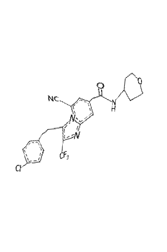 N#Cc1cc(C(=O)NC2CCOCC2)cc2nc(C(F)(F)F)c(Cc3ccc(Cl)cc3)n12